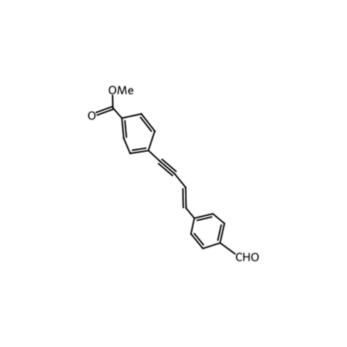 COC(=O)c1ccc(C#CC=Cc2ccc(C=O)cc2)cc1